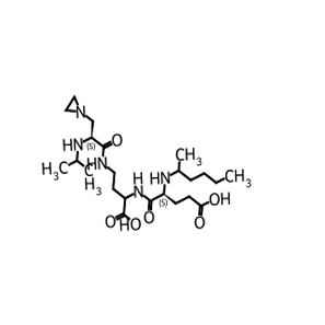 CCCCC(C)N[C@@H](CCC(=O)O)C(=O)NC(CCNC(=O)[C@H](CN1CC1)NC(C)C)C(=O)O